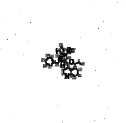 C=CCO[C@H](c1ccnc2ccccc12)[C@@H]1C[C@@H]2CC[N+]1(Cc1ccccc1)C[C@@H]2C=C.[Br-]